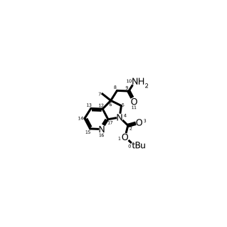 CC(C)(C)OC(=O)N1CC(C)(CC(N)=O)c2cccnc21